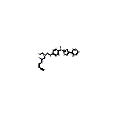 C#C/C=C\C=C(/C)CN(CC)CCc1ccc(Nc2nc(-c3cccnc3)cs2)cc1